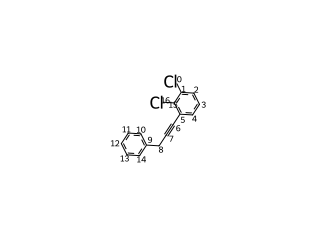 Clc1cccc(C#CCc2ccccc2)c1Cl